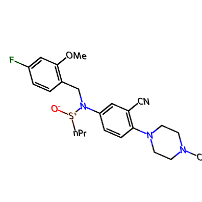 CCC[S+]([O-])N(Cc1ccc(F)cc1OC)c1ccc(N2CCN(C(=O)OCC)CC2)c(C#N)c1